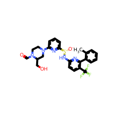 Cc1ccccc1-c1nc(N[S+]([O-])c2cccc(N3CCN(C=O)C(CO)C3)n2)ccc1C(F)(F)F